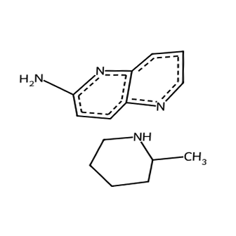 CC1CCCCN1.Nc1ccc2ncccc2n1